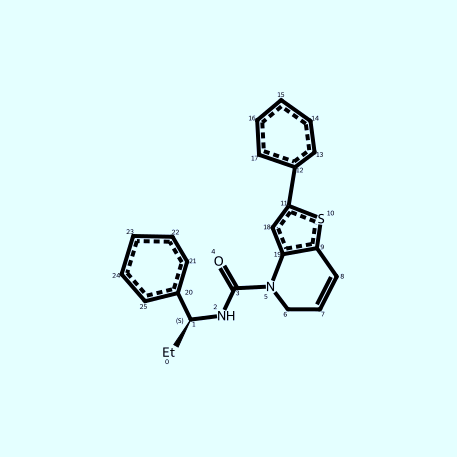 CC[C@H](NC(=O)N1CC=Cc2sc(-c3ccccc3)cc21)c1ccccc1